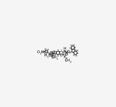 C=CCOC(=O)C(Cc1ccc(OP(=O)(OCc2ccc([N+](=O)[O-])o2)N(C)C)cc1)NC(=O)OCC1c2ccccc2-c2ccccc21